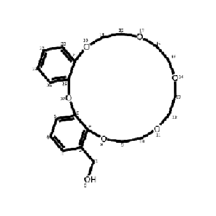 OCc1cccc2c1OCCOCCOCCOCCOc1ccccc1O2